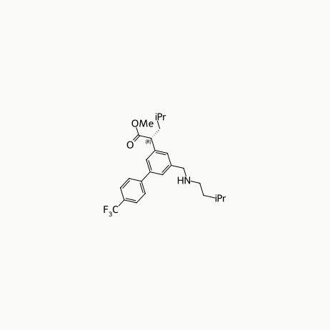 COC(=O)[C@H](CC(C)C)c1cc(CNCCC(C)C)cc(-c2ccc(C(F)(F)F)cc2)c1